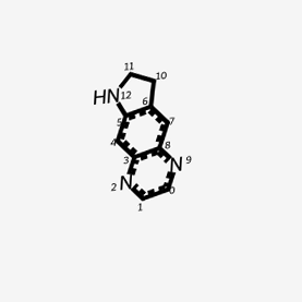 c1cnc2cc3c(cc2n1)CCN3